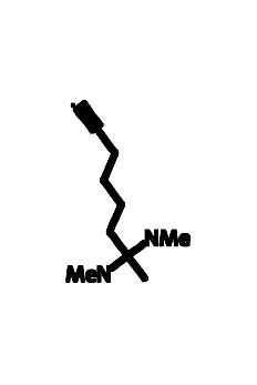 [C]#CCCCCC(C)(NC)NC